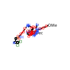 CCCCCCCCCCn1cc(COC(=O)C(C)CC(CC(CC(C)(CC(C)(CC)C(=O)NCC(C)O)C(=O)OCc2cn(CCOCCOCCOCCNS(=O)(=O)c3cccc(C4CN(C)Cc5c(Cl)cc(Cl)cc54)c3)nn2)C(=O)OCc2cn(CCOCCOCCOCCOC)nn2)C(=O)OCc2cn(CCNC(=O)CCN(C)C)nn2)nn1